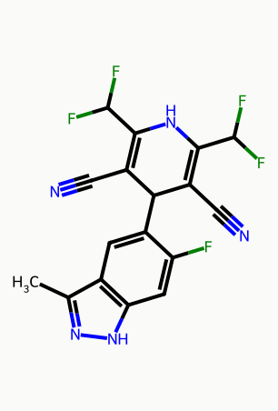 Cc1n[nH]c2cc(F)c(C3C(C#N)=C(C(F)F)NC(C(F)F)=C3C#N)cc12